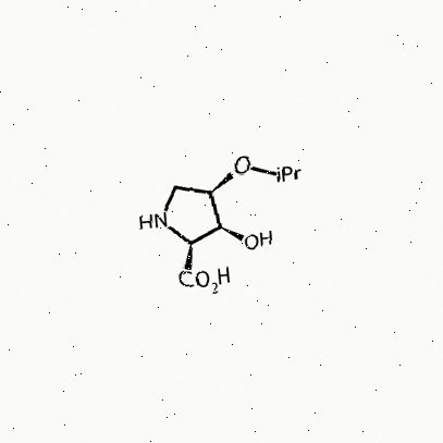 CC(C)O[C@@H]1CN[C@H](C(=O)O)[C@@H]1O